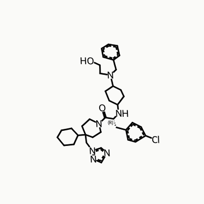 O=C([C@@H](Cc1ccc(Cl)cc1)NC1CCC(N(CCO)Cc2ccccc2)CC1)N1CCC(Cn2cncn2)(C2CCCCC2)CC1